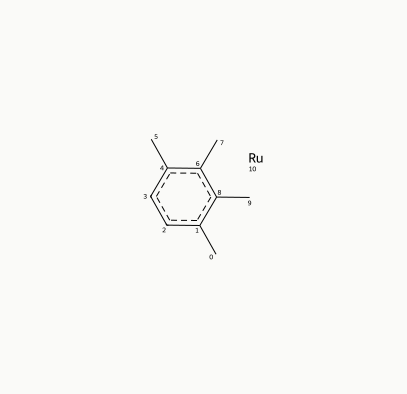 Cc1ccc(C)c(C)c1C.[Ru]